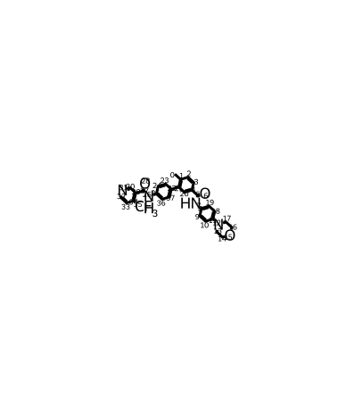 Cc1ccc(C(=O)Nc2ccc(N3CCOCC3)cc2)cc1-c1ccc(NC(=O)c2cnccc2C(F)(F)F)cc1